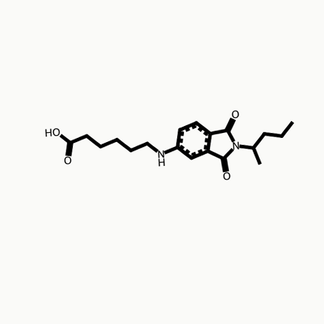 CCCC(C)N1C(=O)c2ccc(NCCCCCC(=O)O)cc2C1=O